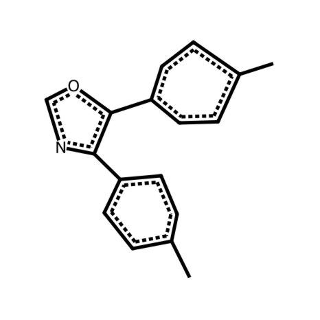 Cc1ccc(-c2ncoc2-c2ccc(C)cc2)cc1